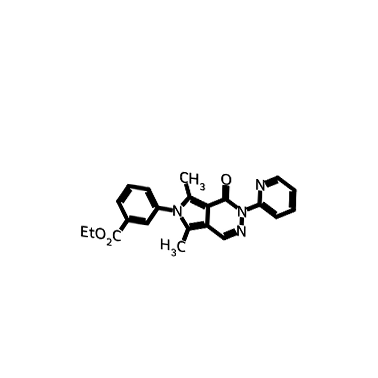 CCOC(=O)c1cccc(-n2c(C)c3cnn(-c4ccccn4)c(=O)c3c2C)c1